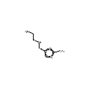 COc1nc(CNCCN)cs1